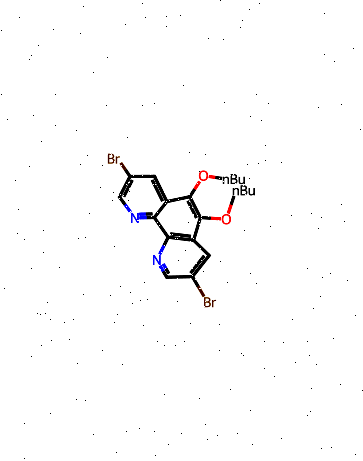 CCCCOc1c(OCCCC)c2cc(Br)cnc2c2ncc(Br)cc12